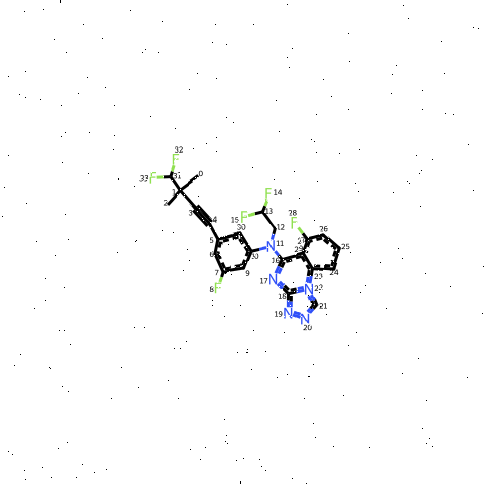 CC(C)(C#Cc1cc(F)cc(N(CC(F)F)c2nc3nncn3c3cccc(F)c23)c1)C(F)F